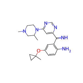 CC1CN(C)CCN1c1cc(C(=N)c2cc(OC3(C)CC3)ccc2N)ncn1